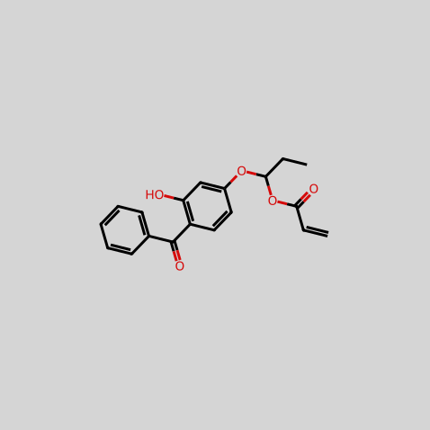 C=CC(=O)OC(CC)Oc1ccc(C(=O)c2ccccc2)c(O)c1